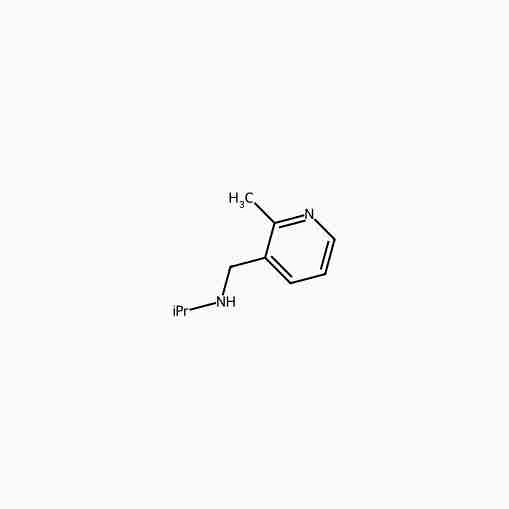 Cc1ncccc1CNC(C)C